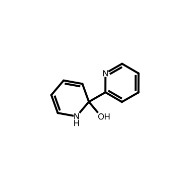 OC1(c2ccccn2)C=CC=CN1